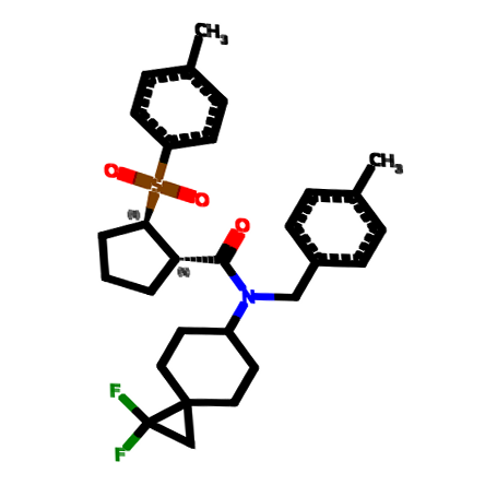 Cc1ccc(CN(C(=O)[C@@H]2CCC[C@H]2S(=O)(=O)c2ccc(C)cc2)C2CCC3(CC2)CC3(F)F)cc1